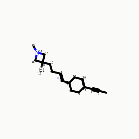 CC#CC1CCC(/C=C/CCC2(CC)CN(C)C2)CC1